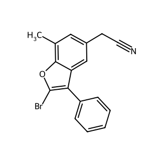 Cc1cc(CC#N)cc2c(-c3ccccc3)c(Br)oc12